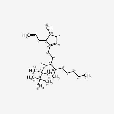 C=CCC1C(CCC(O[Si](C)(C)C(C)(C)C)C(C)CCCCC)=CCC1O